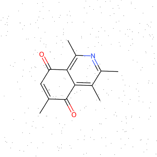 CC1=CC(=O)c2c(C)nc(C)c(C)c2C1=O